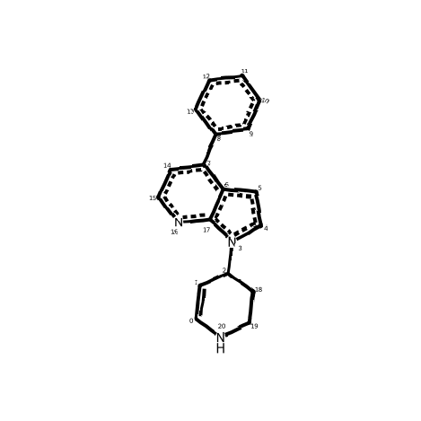 C1=CC(n2ccc3c(-c4ccccc4)ccnc32)CCN1